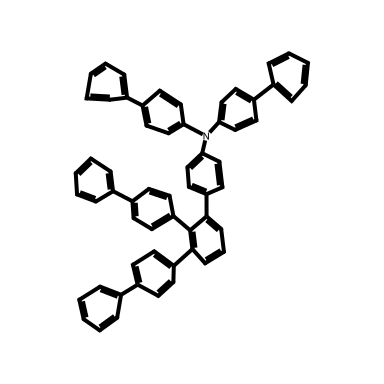 c1ccc(-c2ccc(-c3cccc(-c4ccc(N(c5ccc(-c6ccccc6)cc5)c5ccc(-c6ccccc6)cc5)cc4)c3-c3ccc(-c4ccccc4)cc3)cc2)cc1